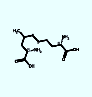 CC(C[C@H](N)C(=O)O)SSCC[C@H](N)C(=O)O